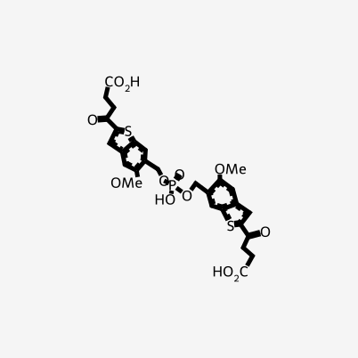 COc1cc2cc(C(=O)CCC(=O)O)sc2cc1COP(=O)(O)OCc1cc2sc(C(=O)CCC(=O)O)cc2cc1OC